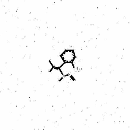 C=NN(C)C(=C(C)C)c1ccccc1C(=O)O